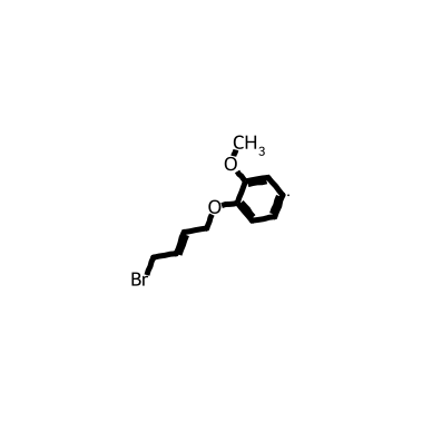 COc1c[c]ccc1OCC=CCBr